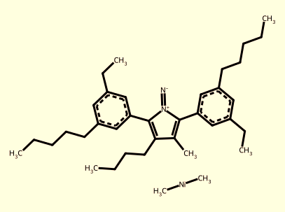 CCCCCc1cc(CC)cc(C2=C(C)C(CCCC)=C(c3cc(CC)cc(CCCCC)c3)[N+]2=[N-])c1.[CH3][Ni][CH3]